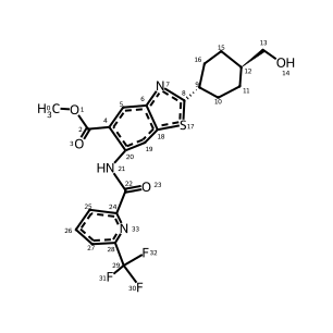 COC(=O)c1cc2nc([C@H]3CC[C@H](CO)CC3)sc2cc1NC(=O)c1cccc(C(F)(F)F)n1